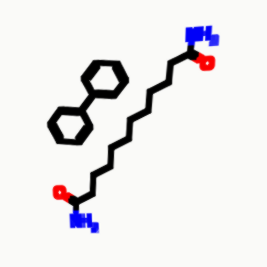 NC(=O)CCCCCCCCCCC(N)=O.c1ccc(-c2ccccc2)cc1